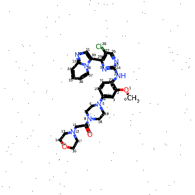 COc1cc(N2CCN(C(=O)CN3CCOCC3)CC2)ccc1Nc1ncc(Cl)c(-c2cnc3ccccn23)n1